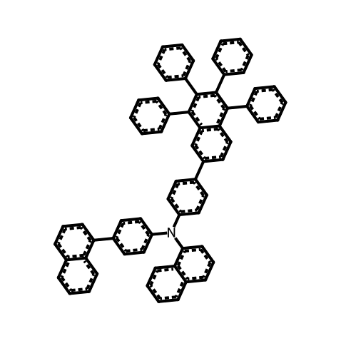 c1ccc(-c2c(-c3ccccc3)c(-c3ccccc3)c3cc(-c4ccc(N(c5ccc(-c6cccc7ccccc67)cc5)c5cccc6ccccc56)cc4)ccc3c2-c2ccccc2)cc1